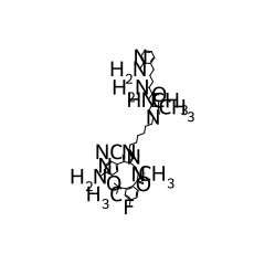 C[C@H]1Oc2cc(cnc2N)-c2c(nn(CCCCCCN3C[C@H](NC(=O)[C@@H](N)CCCc4cccnc4N)C(C)(C)C3)c2C#N)CN(C)C(=O)c2ccc(F)cc21